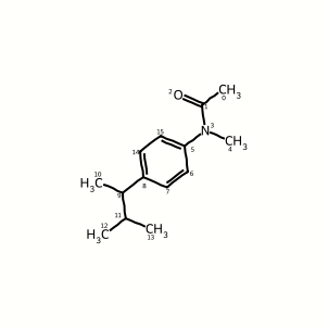 CC(=O)N(C)c1ccc(C(C)C(C)C)cc1